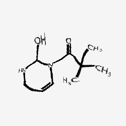 CC(C)(C)C(=O)N1C=CCNC1O